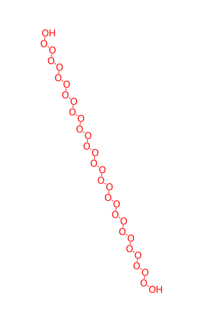 OOOOOOOOOOOOOOOOOOOOOOOOOOOOOOO